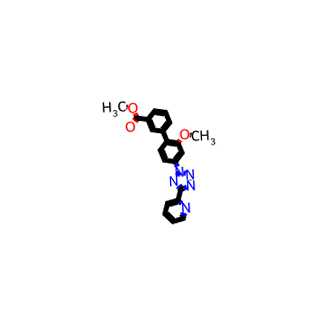 COC(=O)c1cccc(-c2ccc(-n3nnc(-c4ccccn4)n3)cc2OC)c1